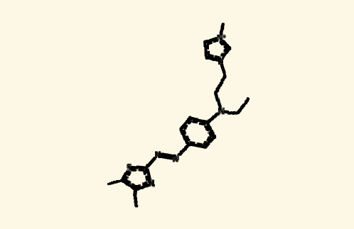 CCN(CCn1cc[n+](C)c1)c1ccc(N=Nc2nc(C)c(C)s2)cc1